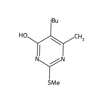 CCC(C)c1c(C)nc(SC)nc1O